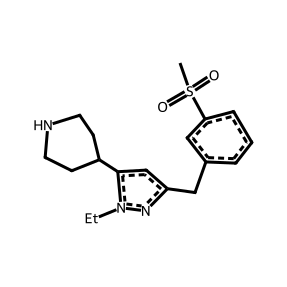 CCn1nc(Cc2cccc(S(C)(=O)=O)c2)cc1C1CCNCC1